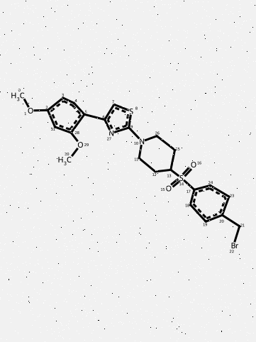 COc1ccc(-c2csc(N3CCC(S(=O)(=O)c4ccc(CBr)cc4)CC3)n2)c(OC)c1